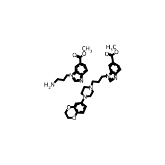 COC(=O)c1ccc2ncn(CCCN)c2c1.COC(=O)c1ccc2ncn(CCCN3CCN(c4ccc5c(c4)OCCO5)CC3)c2c1